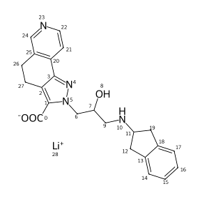 O=C([O-])c1c2c(nn1CC(O)CNC1Cc3ccccc3C1)-c1ccncc1CC2.[Li+]